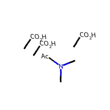 CC(=O)N(C)C.CC(=O)O.CC(=O)O.CC(=O)O